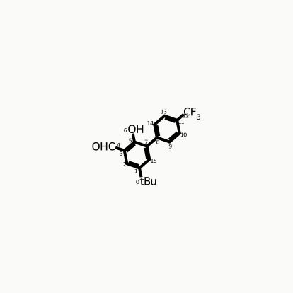 CC(C)(C)c1cc(C=O)c(O)c(-c2ccc(C(F)(F)F)cc2)c1